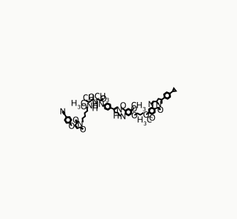 COc1cc2c(cc1OCCCOc1cc3c(cc1OC)C(=O)N1C=C(c4ccc(NC(=O)[C@@H](C)NC(=O)[C@H](NC(=O)CCCCCN5C(=O)C=C(Oc6ccc(C#N)cc6)C5=O)C(C)C)cc4)C[C@@H]1C=N3)N=CC1CC(c3ccc(C4CC4)cc3)=CN1C2=O